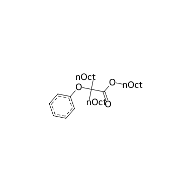 CCCCCCCCOC(=O)C(CCCCCCCC)(CCCCCCCC)Oc1ccccc1